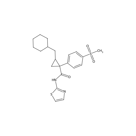 CS(=O)(=O)c1ccc(C2(C(=O)Nc3nccs3)CC2CC2CCCCC2)cc1